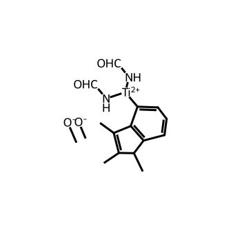 CC1=C(C)C(C)c2ccc[c]([Ti+2]([NH]C=O)[NH]C=O)c21.C[O-].C[O-]